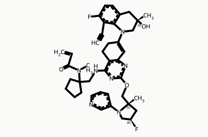 C#Cc1c(F)ccc2c1N(C1=Cc3nc(OC[C@]4(C)C[C@@H](F)CN4c4cccnc4)nc(NCC4(N(C)C(=O)C=C)CCCC4)c3CC1)C[C@@](C)(O)C2